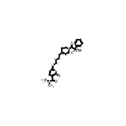 CN(C)C(=O)c1ccc(OCCCCC2CCN(C(=O)[C@](O)(c3ccccc3)C(F)(F)F)CC2)nc1Cl